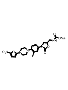 COC(=O)NCC1CN(c2ccc(N3CCN(c4ccc([N+](=O)[O-])s4)CC3)c(F)c2)C(=O)O1